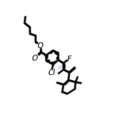 C=C(C1=C(C)CCCC1(C)C)/C(C)=C(\F)c1ccc(C(=O)OCCCCCC)cc1Cl